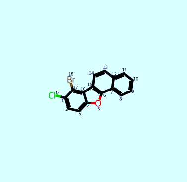 Clc1ccc2oc3c4ccccc4ccc3c2c1Br